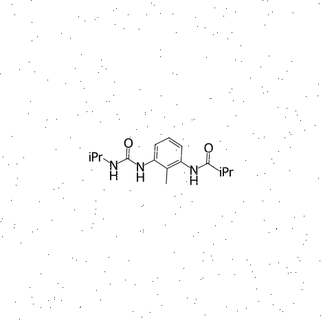 Cc1c(NC(=O)NC(C)C)cccc1NC(=O)C(C)C